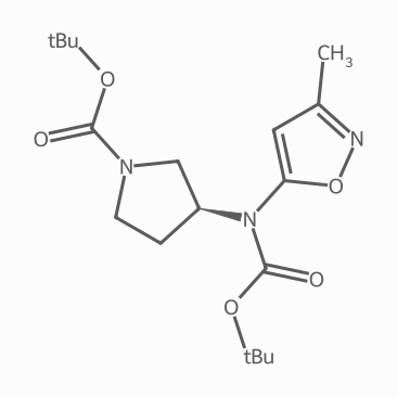 Cc1cc(N(C(=O)OC(C)(C)C)[C@H]2CCN(C(=O)OC(C)(C)C)C2)on1